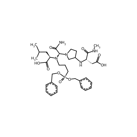 CNC(=O)[C@H](CC(=O)O)NC1CCN([C@H](C(N)=O)N(CCCP(=O)(OCc2ccccc2)OCc2ccccc2)[C@H](CC(C)C)C(=O)O)C1